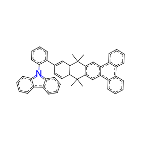 CC1(C)c2cc3c4ccccc4c4ccccc4c3cc2C(C)(C)C2C=C(c3ccccc3-n3c4ccccc4c4ccccc43)C=CC21